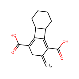 C=C1CC(C(=O)O)=C2C(=C1C(=O)O)C1CCCCC21